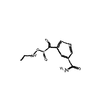 CCNOS(=O)C(=O)c1cncc(C(N)=O)c1